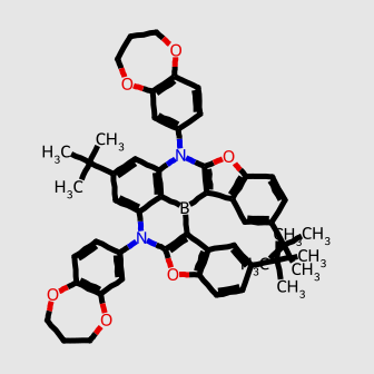 CC(C)(C)c1cc2c3c(c1)N(c1ccc4c(c1)OCCCO4)c1oc4ccc(C(C)(C)C)cc4c1B3c1c(oc3ccc(C(C)(C)C)cc13)N2c1ccc2c(c1)OCCCO2